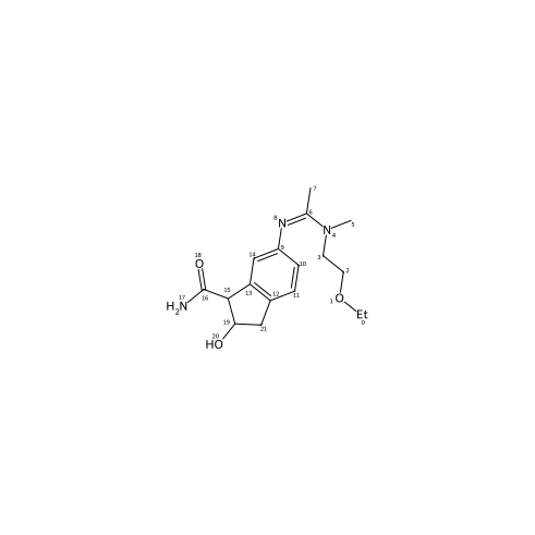 CCOCCN(C)C(C)=Nc1ccc2c(c1)C(C(N)=O)C(O)C2